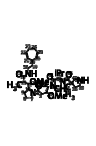 CC[C@H](C)[C@@H]([C@@H](CC(=O)N1CCC[C@H]1[C@H](OC)[C@@H](C)C(=O)NCCC1C=CC=CC=C1)OC)N(C)C(=O)[C@@H](NC(=O)[C@@]1(C)CCNC1)C(C)C